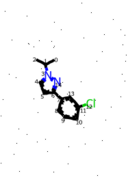 CC(C)n1ccc(-c2cccc(Cl)c2)n1